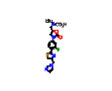 CC(C)(C)N(C[C@@H]1CN(c2ccc(-c3nc(Cn4ccnc4)cs3)c(F)c2)C(=O)O1)C(=O)O